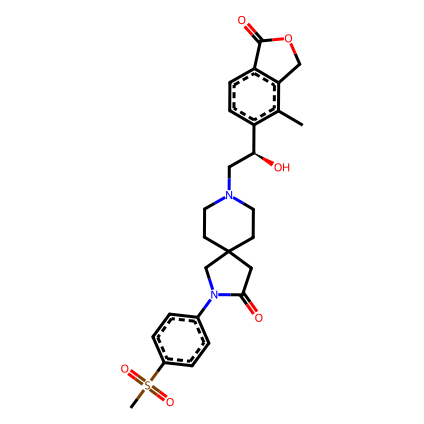 Cc1c([C@@H](O)CN2CCC3(CC2)CC(=O)N(c2ccc(S(C)(=O)=O)cc2)C3)ccc2c1COC2=O